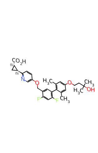 Cc1cc(OCCC(C)(C)O)cc(C)c1-c1cc(COc2ccc([C@H]3C[C@@H]3C(=O)O)nc2)c(F)cc1F